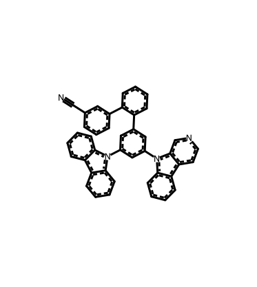 N#Cc1cccc(-c2ccccc2-c2cc(-n3c4ccccc4c4ccccc43)cc(-n3c4ccccc4c4ccncc43)c2)c1